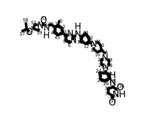 Cc1cc(-c2ccnc(Nc3ccc(N4CCC(CN5CCN(c6cccc(NC7CCC(=O)NC7=O)c6)CC5)CC4)cc3)n2)ccc1CNC(=O)N1CC(OC(C)C)C1